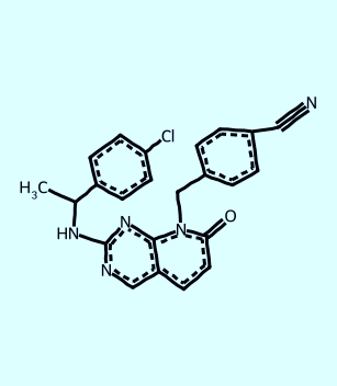 CC(Nc1ncc2ccc(=O)n(Cc3ccc(C#N)cc3)c2n1)c1ccc(Cl)cc1